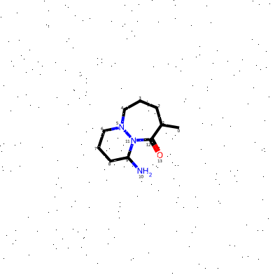 CC1CCCN2CCCC(N)N2C1=O